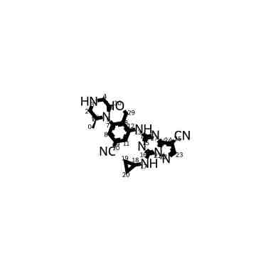 C[C@H]1CNCCN1c1cc(C#N)cc(Nc2nc(NC3CC3)n3ncc(C#N)c3n2)c1CO